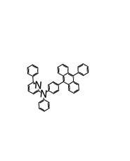 c1ccc(-c2cccc(N(c3ccccc3)c3ccc(-c4c5ccccc5c(-c5ccccc5)c5ccccc45)cc3)n2)cc1